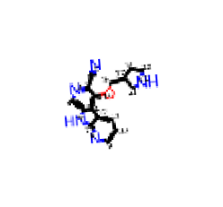 N#Cc1ncc2[nH]c3ncccc3c2c1OCC1CCNC1